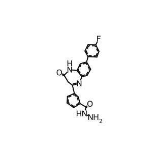 NNC(=O)c1cccc(C2=Nc3ccc(-c4ccc(F)cc4)cc3NC(=O)C2)c1